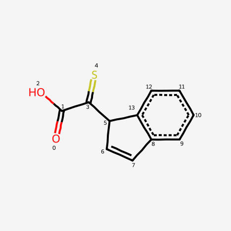 O=C(O)C(=S)C1C=Cc2ccccc21